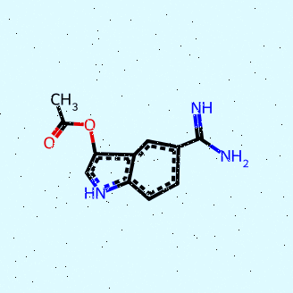 CC(=O)Oc1c[nH]c2ccc(C(=N)N)cc12